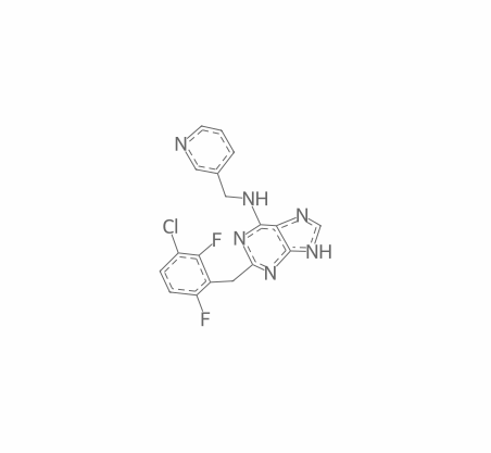 Fc1ccc(Cl)c(F)c1Cc1nc(NCc2cccnc2)c2nc[nH]c2n1